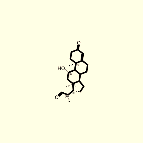 C[C@H](C=O)[C@H]1CCC2C3CCC4=CC(=O)CC[C@]4(C)C3[C@@H](O)C[C@@]21C